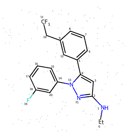 CCNc1cc(-c2cccc(CC(F)(F)F)c2)n(-c2cccc(F)c2)n1